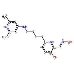 Cc1cc(NCCCCc2ccc(O)c(C=NO)n2)cc(C)n1